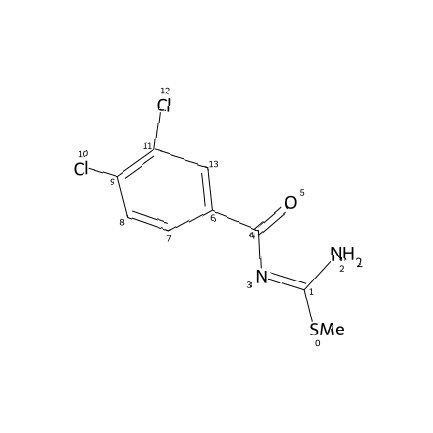 CSC(N)=NC(=O)c1ccc(Cl)c(Cl)c1